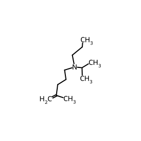 C=C(C)CCCN(CCC)C(C)C